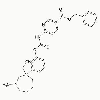 CCC1(c2cccc(OC(=O)Nc3ccc(C(=O)OCc4ccccc4)cn3)c2)CCCCN(C)C1